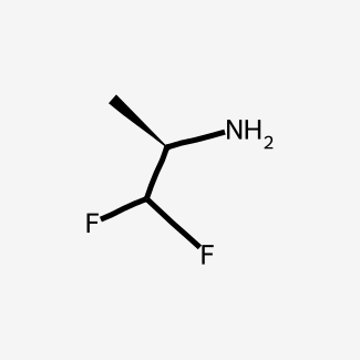 C[C@@H](N)C(F)F